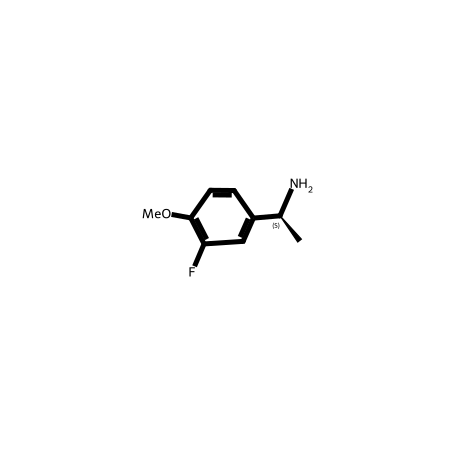 COc1ccc([C@H](C)N)cc1F